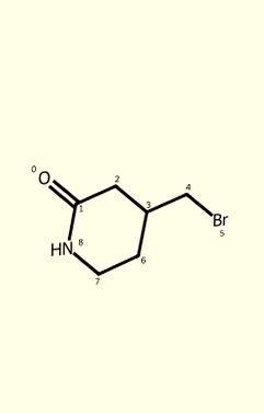 O=C1CC(CBr)CCN1